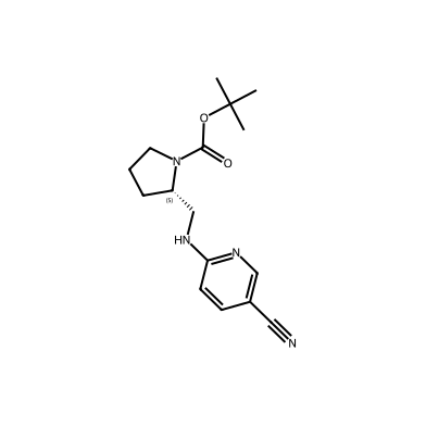 CC(C)(C)OC(=O)N1CCC[C@H]1CNc1ccc(C#N)cn1